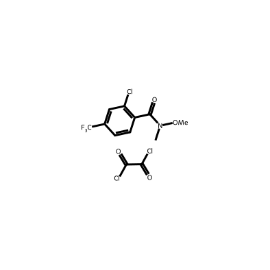 CON(C)C(=O)c1ccc(C(F)(F)F)cc1Cl.O=C(Cl)C(=O)Cl